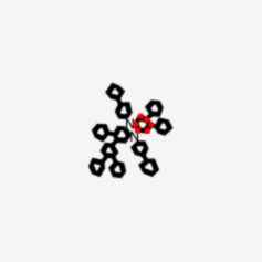 c1ccc(-c2ccc(N(c3ccc(-c4ccccc4)cc3)c3cc(-c4ccccc4)c(-c4ccc(-c5ccccc5)c(-c5ccccc5)c4)cc3N(c3ccc(-c4ccccc4)cc3)c3ccc(-c4ccccc4)cc3)cc2)cc1